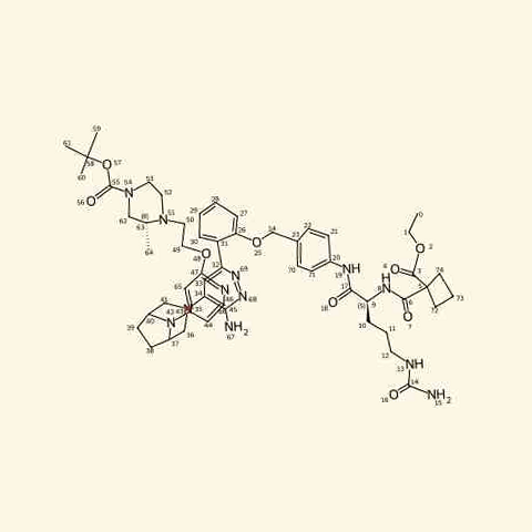 CCOC(=O)C1(C(=O)N[C@@H](CCCNC(N)=O)C(=O)Nc2ccc(COc3ccccc3-c3cc(N4CC5CCC(C4)N5c4ccnc(OCCN5CCN(C(=O)OC(C)(C)C)C[C@H]5C)c4)c(N)nn3)cc2)CCC1